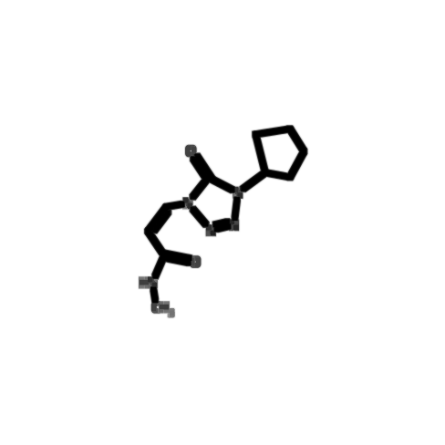 CNC(=O)/C=C\n1nnn(C2CCCC2)c1=O